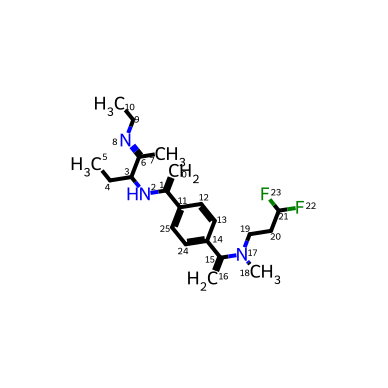 C=C(NC(CC)/C(C)=N/CC)c1ccc(C(=C)N(C)CCC(F)F)cc1